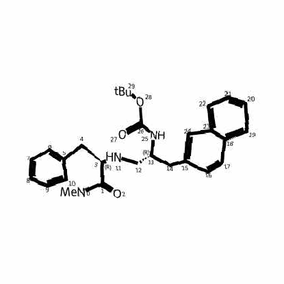 CNC(=O)[C@@H](Cc1ccccc1)NC[C@@H](Cc1ccc2ccccc2c1)NC(=O)OC(C)(C)C